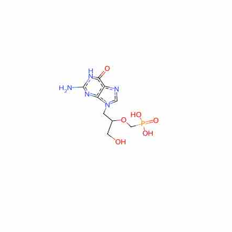 Nc1nc2c(ncn2CC(CO)OCP(=O)(O)O)c(=O)[nH]1